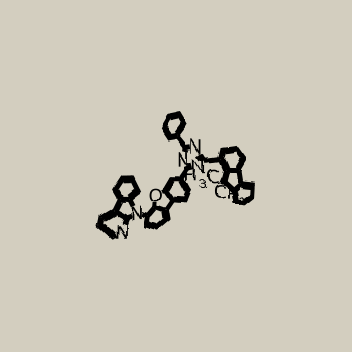 CC1(C)c2ccccc2-c2cccc(-c3nc(-c4ccccc4)nc(-c4ccc5c(c4)oc4c(-n6c7ccccc7c7cccnc76)cccc45)n3)c21